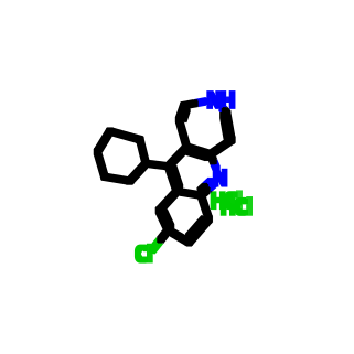 Cl.Cl.Clc1ccc2nc3c(c(C4CCCCC4)c2c1)C=CNC=C3